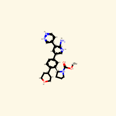 CC(C)(C)OC(=O)N1CCC[C@H]1c1cc(-c2cnc(N)c(-c3ccnnc3)c2)ccc1C1CCOCC1